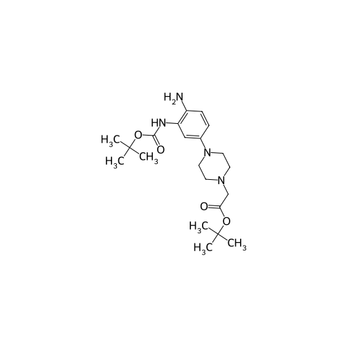 CC(C)(C)OC(=O)CN1CCN(c2ccc(N)c(NC(=O)OC(C)(C)C)c2)CC1